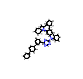 c1ccc(-c2ccc(-c3cccc(-c4ncnc(-n5c6ccccc6c6cc7c8ccccc8c8cc9ccccc9n8c7cc65)n4)c3)cc2)cc1